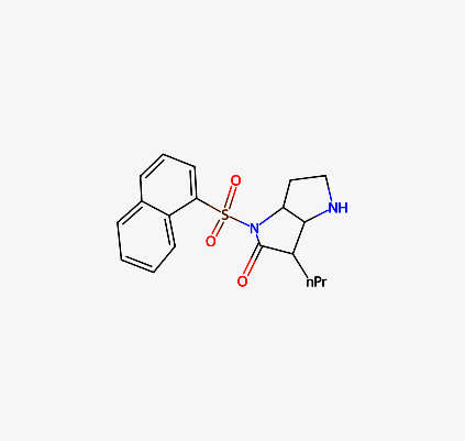 CCCC1C(=O)N(S(=O)(=O)c2cccc3ccccc23)C2CCNC12